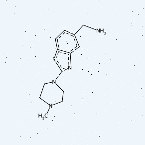 CN1CCN(c2nc3cc(CN)ccc3s2)CC1